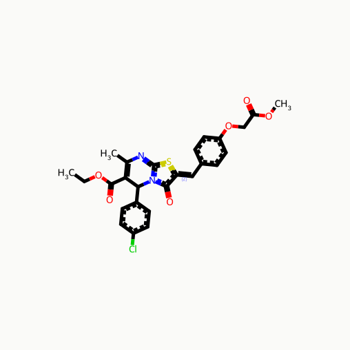 CCOC(=O)C1=C(C)N=c2s/c(=C\c3ccc(OCC(=O)OC)cc3)c(=O)n2C1c1ccc(Cl)cc1